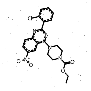 CCOC(=O)N1CCN(c2nc(-c3ccccc3Cl)nc3ccc([N+](=O)[O-])cc23)CC1